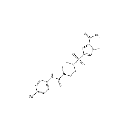 CCC(C)c1ccc(NC(=O)N2CCN(S(=O)(=O)c3cc(C(N)=O)n(C)c3)CC2)cc1